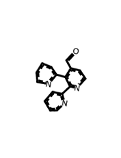 O=Cc1ccnc(-c2ccccn2)c1-c1ccccn1